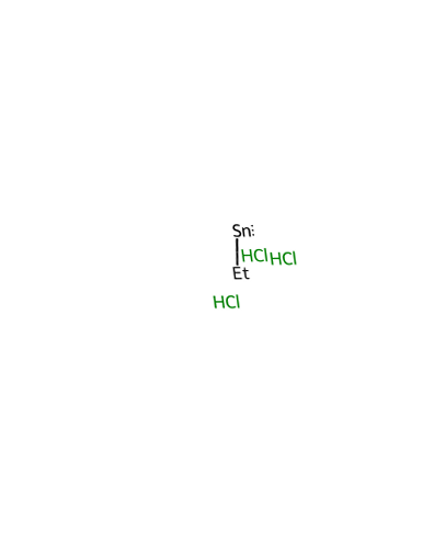 C[CH2][Sn].Cl.Cl.Cl